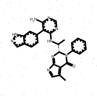 CC1=C2C(=O)N(c3ccccc3)[C@@H](C(C)Nc3ncnc(N)c3-c3ccc4cn[nH]c4c3)N=C2N=C1